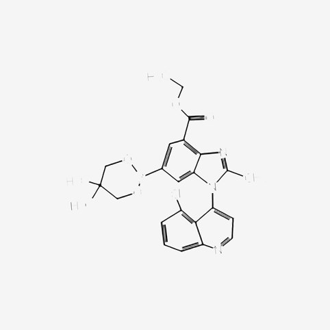 CCOC(=O)c1cc(B2OCC(C)(C)CO2)cc2c1nc(C)n2-c1ccnc2cccc(Cl)c12